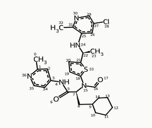 Cc1cc(NC(=O)[C@H](CC2CCCCC2)N(C=O)c2ccc([C@H](C)Nc3cc(Cl)cnc3C)s2)ccn1